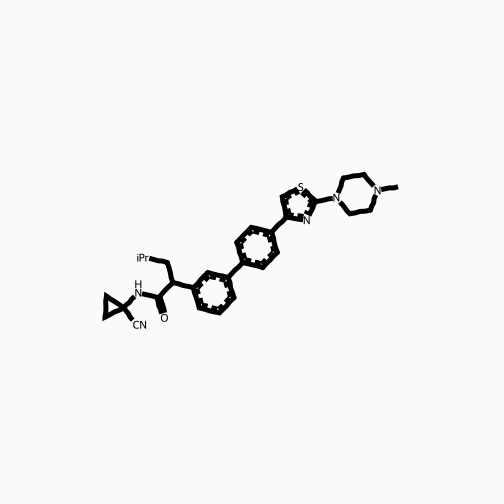 CC(C)CC(C(=O)NC1(C#N)CC1)c1cccc(-c2ccc(-c3csc(N4CCN(C)CC4)n3)cc2)c1